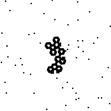 c1cc(-c2ccc(-c3cc4cccnc4c4ncccc34)c3cccnc23)cc(-c2nc3ccccc3c3c4ccccc4c4ccccc4c23)c1